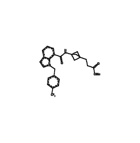 COC(=O)CCC12CC(NC(=O)c3cccc4ccn(Cc5ccc(C(F)(F)F)cc5)c34)(C1)C2